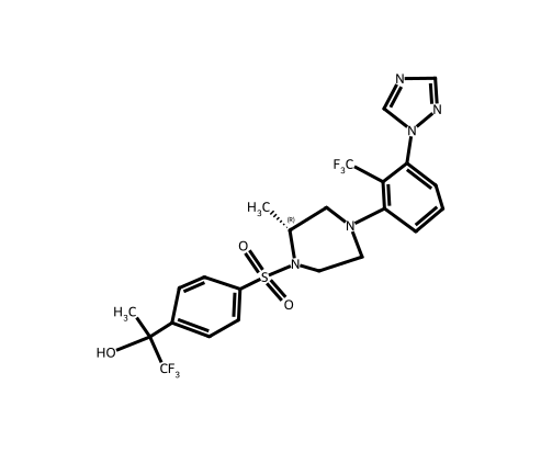 C[C@@H]1CN(c2cccc(-n3cncn3)c2C(F)(F)F)CCN1S(=O)(=O)c1ccc(C(C)(O)C(F)(F)F)cc1